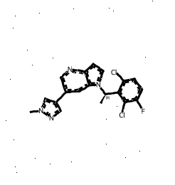 C[C@H](c1c(Cl)ccc(F)c1Cl)n1ccc2ncc(-c3cnn(C)c3)cc21